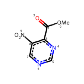 COC(=O)c1n[c]ncc1[N+](=O)[O-]